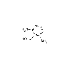 Nc1cccc(N)c1CO